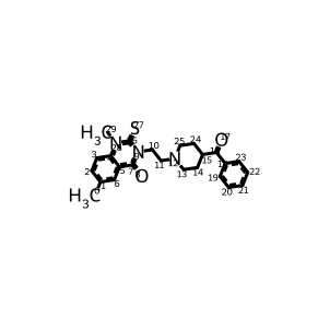 Cc1ccc2c(c1)c(=O)n(CCN1CCC(C(=O)c3ccccc3)CC1)c(=S)n2C